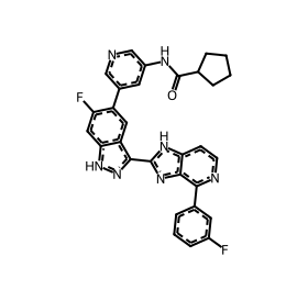 O=C(Nc1cncc(-c2cc3c(-c4nc5c(-c6cccc(F)c6)nccc5[nH]4)n[nH]c3cc2F)c1)C1CCCC1